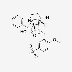 COc1ccc(S(C)(=O)=O)cc1CN[C@H]1[C@H]2CCN(C(C(=O)O)C2)[C@H]1Cc1ccccc1